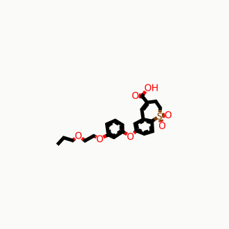 CCCOCCOc1cccc(Oc2ccc3c(c2)C=C(C(=O)O)CCS3(=O)=O)c1